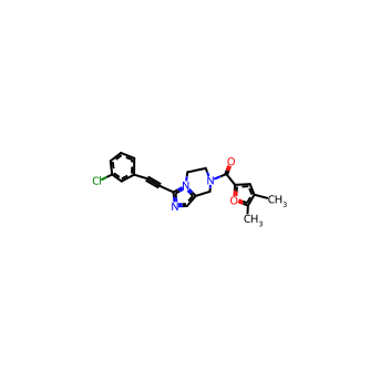 Cc1cc(C(=O)N2CCn3c(cnc3C#Cc3cccc(Cl)c3)C2)oc1C